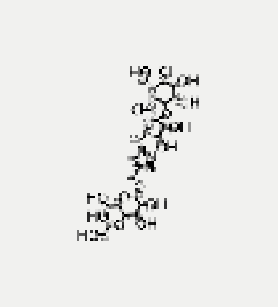 OCC1OC(OCc2cn(C[C@H]3O[C@@](CCl)(O[C@H]4C[C@H](CO)[C@H](Cl)[C@H](O)[C@H]4O)[C@@H](O)[C@H]3O)nn2)C(O)C(O)C1O[C@@H](O)CO